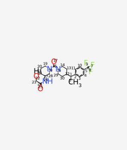 CC(c1ccc(C(F)(F)F)cc1)C1CCN(C(=O)N2CC[C@@H]3OCC(=O)NC3C2)CC1